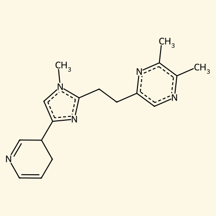 Cc1ncc(CCc2nc(C3C=NC=CC3)cn2C)nc1C